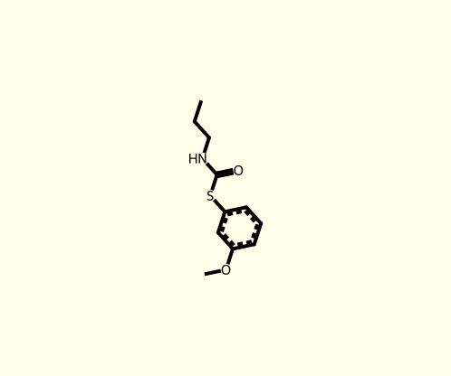 CCCNC(=O)Sc1cccc(OC)c1